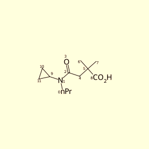 CCCN(C(=O)CC(C)(C)C(=O)O)C1CC1